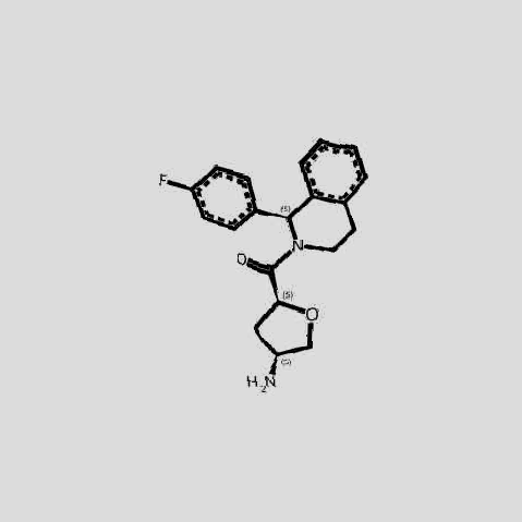 N[C@@H]1CO[C@H](C(=O)N2CCc3ccccc3[C@@H]2c2ccc(F)cc2)C1